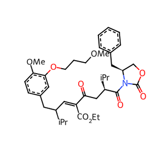 CCOC(=O)/C(=C\C(Cc1ccc(OC)c(OCCCOC)c1)C(C)C)C(=O)C[C@H](C(=O)N1C(=O)OC[C@@H]1Cc1ccccc1)C(C)C